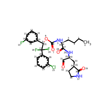 CCCC[C@H](NC(=O)O[C@@H](c1cccc(F)c1)C(F)(F)c1cccc(Cl)c1)C(=O)N[C@H](C=O)C[C@@H]1CCNC1=O